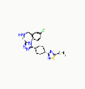 Cc1nc([C@H]2CC[C@H](c3nnc4n3-c3ccc(Cl)cc3CNC4)CC2)ns1